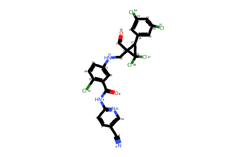 N#Cc1ccc(NC(=O)c2cc(NCC3(C=O)C(c4cc(Cl)cc(Cl)c4)C3(Cl)Cl)ccc2Cl)nc1